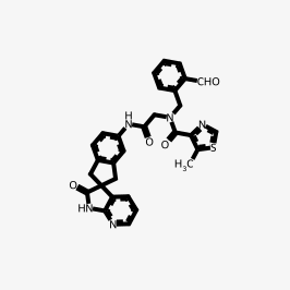 Cc1scnc1C(=O)N(CC(=O)Nc1ccc2c(c1)CC1(C2)C(=O)Nc2ncccc21)Cc1ccccc1C=O